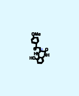 COc1ccc(C(=O)/C=C2\Nc3c(O)cccc3NC2=O)cc1